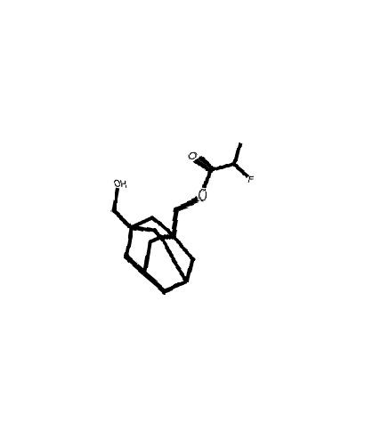 CC(F)C(=O)OCC12CC3CC(CC(CO)(C3)C1)C2